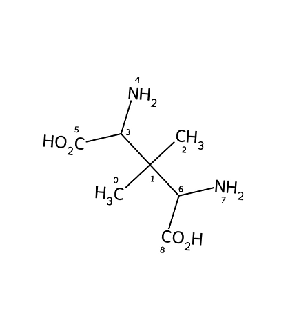 CC(C)(C(N)C(=O)O)C(N)C(=O)O